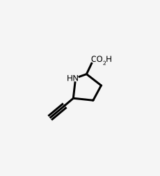 C#CC1CCC(C(=O)O)N1